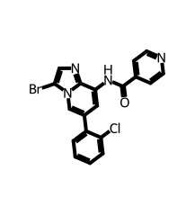 O=C(Nc1cc(-c2ccccc2Cl)cn2c(Br)cnc12)c1ccncc1